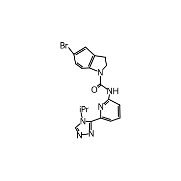 CC(C)n1cnnc1-c1cccc(NC(=O)N2CCc3cc(Br)ccc32)n1